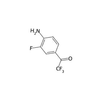 Nc1ccc(C(=O)C(F)(F)F)cc1F